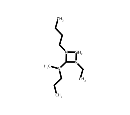 CCCCN1[SiH2]N(CC)C1N(C)CCC